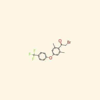 Cc1cc(Oc2ccc(C(F)(F)F)cc2)cc(C)c1C(=O)CBr